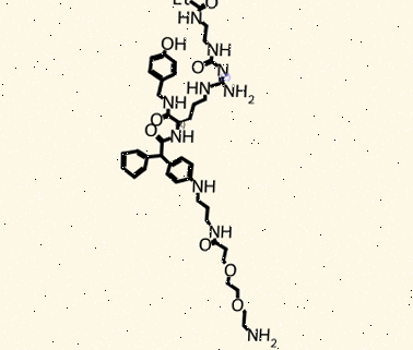 CCC(=O)NCCNC(=O)/N=C(/N)NCCC[C@@H](NC(=O)C(c1ccccc1)c1ccc(NCCCNC(=O)CCOCCOCCN)cc1)C(=O)NCc1ccc(O)cc1